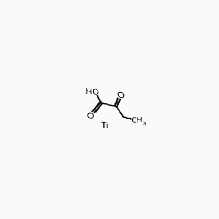 CCC(=O)C(=O)O.[Ti]